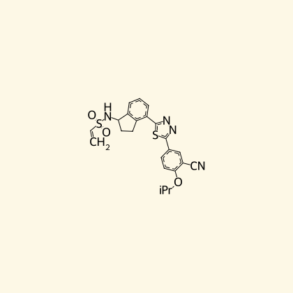 C=CS(=O)(=O)NC1CCc2c(-c3nnc(-c4ccc(OC(C)C)c(C#N)c4)s3)cccc21